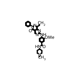 C=Cc1nn(-c2ccccc2)c(=O)c2cnc(Nc3ccc(C(=O)NC4CCN(C)CC4)cc3OC)nc12